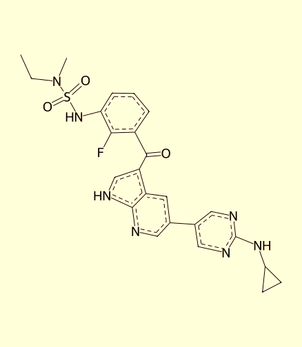 CCN(C)S(=O)(=O)Nc1cccc(C(=O)c2c[nH]c3ncc(-c4cnc(NC5CC5)nc4)cc23)c1F